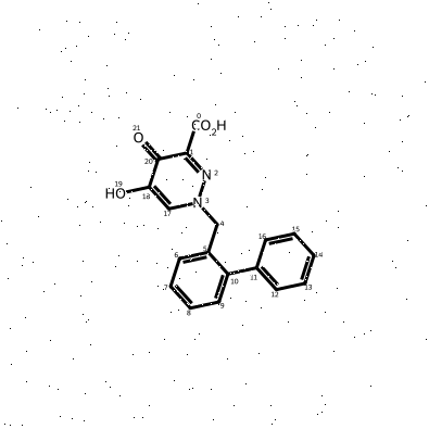 O=C(O)c1nn(Cc2ccccc2-c2ccccc2)cc(O)c1=O